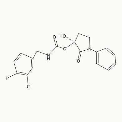 O=C(NCc1ccc(F)c(Cl)c1)O[C@@]1(O)CCN(c2ccccc2)C1=O